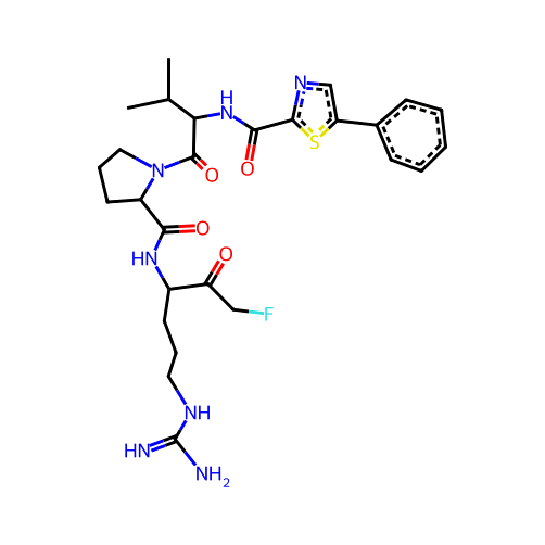 CC(C)C(NC(=O)c1ncc(-c2ccccc2)s1)C(=O)N1CCCC1C(=O)NC(CCCNC(=N)N)C(=O)CF